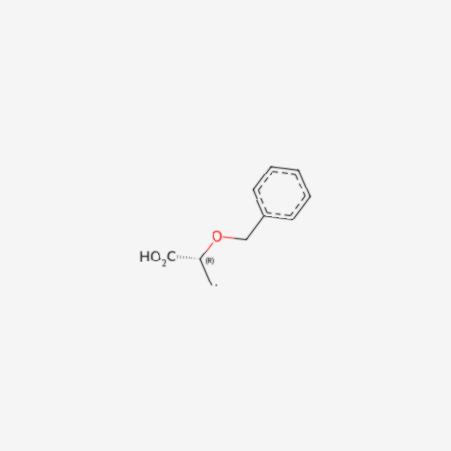 [CH2][C@@H](OCc1ccccc1)C(=O)O